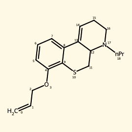 C=CCOc1cccc2c1SCC1C2=CCCN1CCC